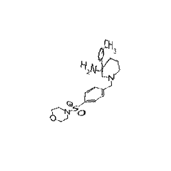 COC1(N)CCCN(Cc2ccc(S(=O)(=O)N3CCOCC3)cc2)C1